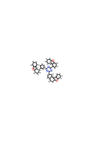 c1cc(-c2nc(-c3ccc4ccc5oc6ccccc6c5c4c3)nc(-c3cccc4oc5ccccc5c34)n2)cc(-c2cccc3oc4ccccc4c23)c1